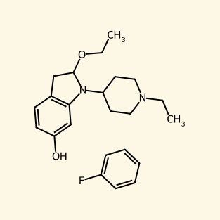 CCOC1Cc2ccc(O)cc2N1C1CCN(CC)CC1.Fc1ccccc1